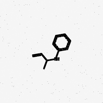 C=CC(C)Nc1ccccc1